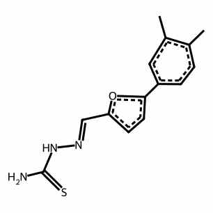 Cc1ccc(-c2ccc(/C=N/NC(N)=S)o2)cc1C